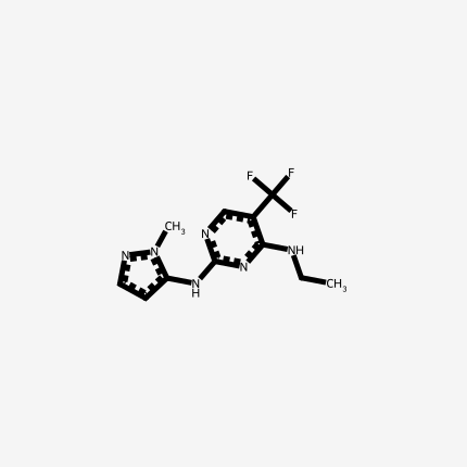 CCNc1nc(Nc2ccnn2C)ncc1C(F)(F)F